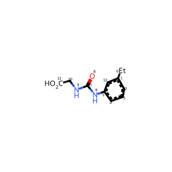 CCc1cccc(NC(=O)NCC(=O)O)c1